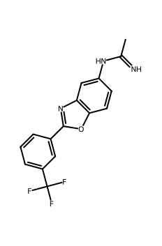 CC(=N)Nc1ccc2oc(-c3cccc(C(F)(F)F)c3)nc2c1